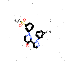 CS(=O)(=O)c1cccc(-n2ccc(=O)c(-c3ccnn3-c3cccc(C#N)c3)n2)c1